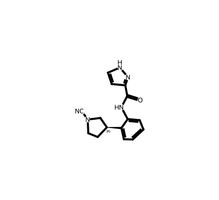 N#CN1CC[C@H](c2ccccc2NC(=O)c2cc[nH]n2)C1